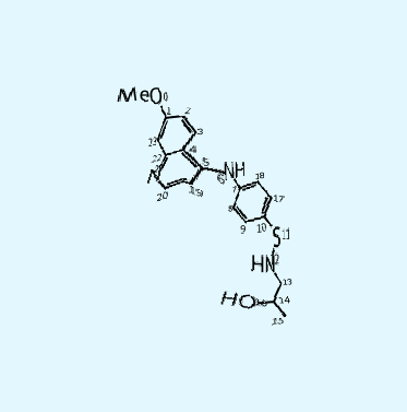 COc1ccc2c(Nc3ccc(SNCC(C)O)cc3)ccnc2c1